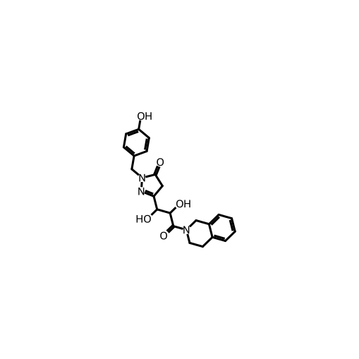 O=C(C(O)C(O)C1=NN(Cc2ccc(O)cc2)C(=O)C1)N1CCc2ccccc2C1